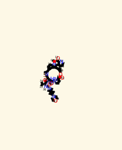 CCn1c(-c2cccnc2[C@H](C)OC)c2c3cc(ccc31)-c1csc(n1)C[C@H](NC(=O)[C@H](C(C)C)N(C)C(=O)N1CC3(CC(N4CCOCC4)C3)C1)C(=O)N1CCC[C@H](N1)C(=O)OCC(C)(C)C2